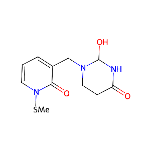 CSn1cccc(CN2CCC(=O)NC2O)c1=O